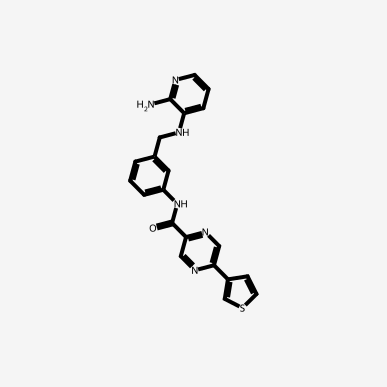 Nc1ncccc1NCc1cccc(NC(=O)c2cnc(-c3ccsc3)cn2)c1